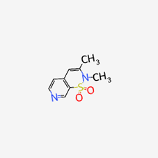 CC1=Cc2ccncc2S(=O)(=O)N1C